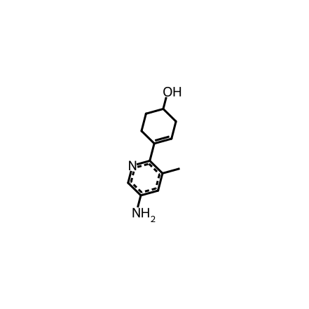 Cc1cc(N)cnc1C1=CCC(O)CC1